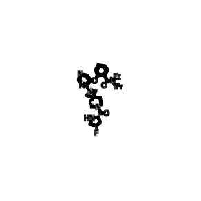 CCN(C(=O)c1ccccc1Oc1cncnc1N1CC2(CCN(C(=O)[C@@H]3C[C@@H](F)CN3)CC2)C1)C(C)C